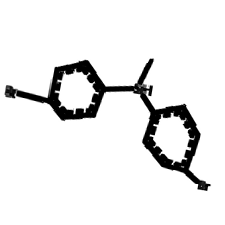 C[SiH](c1ccc(Br)cc1)c1ccc(Br)cc1